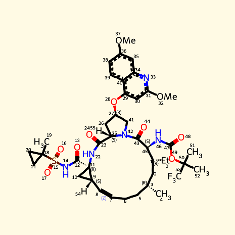 CC[C@@H]1C[C@H](C)CC/C=C\[C@@H]2C[C@@]2(C(=O)NS(=O)(=O)C2(C)CC2)NC(=O)[C@@H]2C[C@@H](Oc3cc(OC)nc4cc(OC)ccc34)CN2C(=O)[C@H]1NC(=O)OC(C)(C)C(F)(F)F